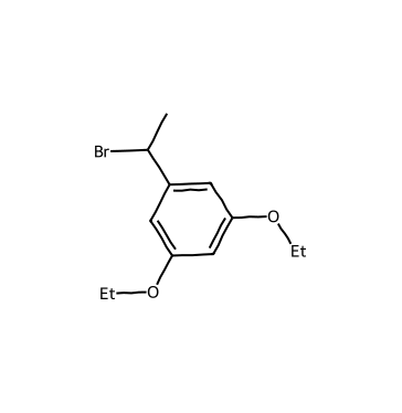 CCOc1cc(OCC)cc(C(C)Br)c1